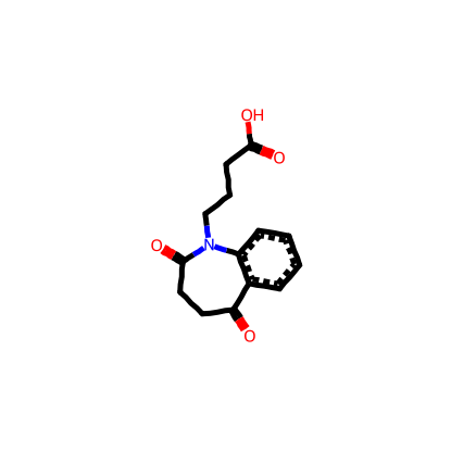 O=C(O)CCCN1C(=O)CCC(=O)c2ccccc21